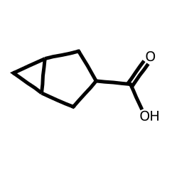 O=C(O)C1CC2CC2C1